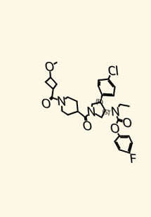 CCN(C(=O)Oc1ccc(F)cc1)[C@@H]1CN(C(=O)C2CCN(C(=O)C3CC(OC)C3)CC2)C[C@H]1c1ccc(Cl)cc1